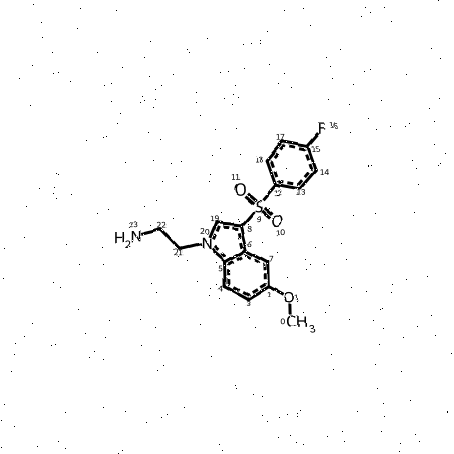 COc1ccc2c(c1)c(S(=O)(=O)c1ccc(F)cc1)cn2CCN